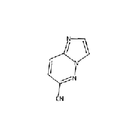 N#Cc1ccc2nccn2n1